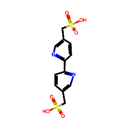 O=S(=O)(O)Cc1ccc(-c2ccc(CS(=O)(=O)O)cn2)nc1